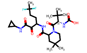 CC(F)(F)CCC(NC(=O)C1CC(C)(C)CCN1C(=O)[C@@H](NC(=O)O)C(C)(C)C)C(=O)C(=O)NC1CC1